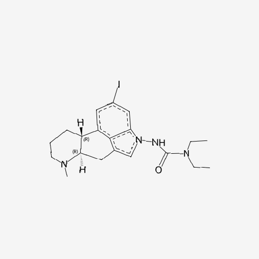 CCN(CC)C(=O)Nn1cc2c3c(cc(I)cc31)[C@H]1CCCN(C)[C@@H]1C2